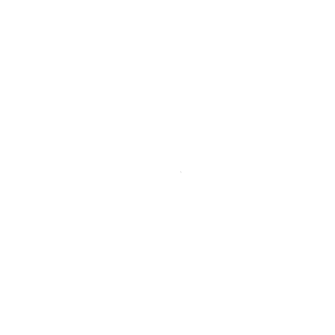 CCP(=O)(C(=O)c1c(C)cc(C)cc1C)C1CCCC1